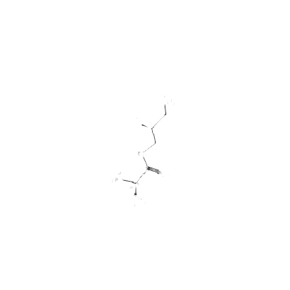 CC[C@H](O)CNC(=O)[C@@H](C)O